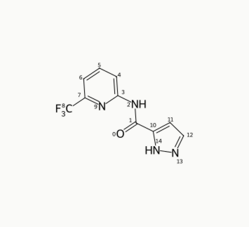 O=C(Nc1cccc(C(F)(F)F)n1)c1ccn[nH]1